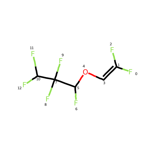 FC(F)=COC(F)C(F)(F)C(F)F